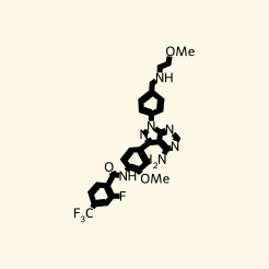 COCCNCc1ccc(-n2nc(-c3ccc(NC(=O)c4ccc(C(F)(F)F)cc4F)c(OC)c3)c3c(N)ncnc32)cc1